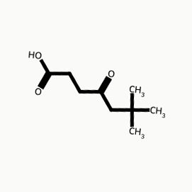 CC(C)(C)CC(=O)CCC(=O)O